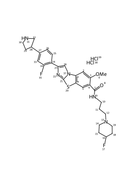 COc1cc2c(cc1C(=O)NCCCN1CCC(F)CC1)sc1nc(-c3ccc(C4CCNC4)cc3F)cn12.Cl.Cl